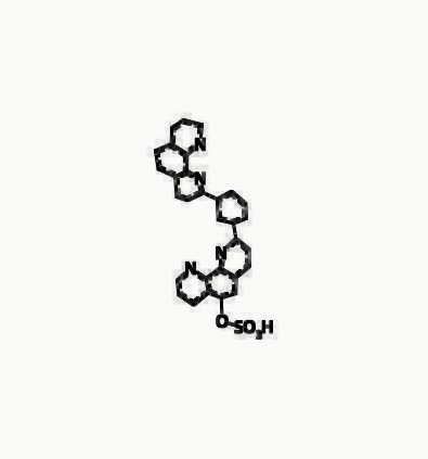 O=S(=O)(O)Oc1cc2ccc(-c3cccc(-c4ccc5ccc6cccnc6c5n4)c3)nc2c2ncccc12